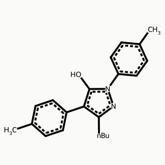 CCCCc1nn(-c2ccc(C)cc2)c(O)c1-c1ccc(C)cc1